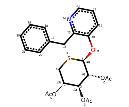 CC(=O)O[C@@H]1[C@@H](OC(C)=O)[C@H](OC(C)=O)CS[C@H]1Oc1cccnc1Cc1ccccc1